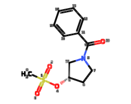 CS(=O)(=O)O[C@H]1CCN(C(=O)c2ccccc2)C1